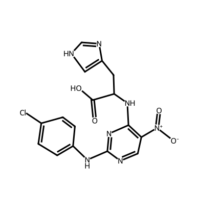 O=C(O)C(Cc1c[nH]cn1)Nc1nc(Nc2ccc(Cl)cc2)ncc1[N+](=O)[O-]